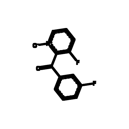 O=C(c1cccc(F)c1)c1c(F)ccc[n+]1[O-]